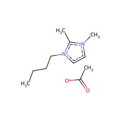 CC(=O)[O-].CCCC[n+]1ccn(C)c1C